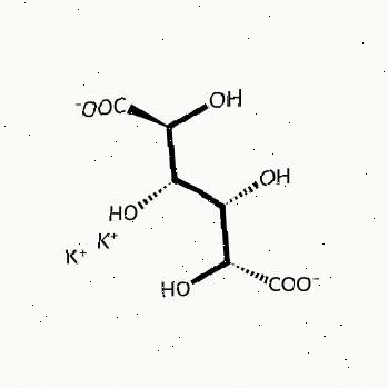 O=C([O-])[C@@H](O)[C@@H](O)[C@H](O)[C@@H](O)C(=O)[O-].[K+].[K+]